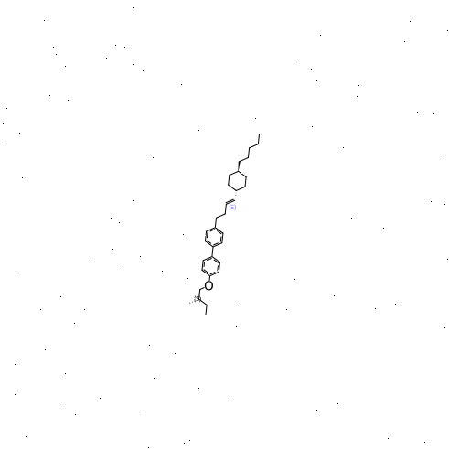 CCCCC[C@H]1CC[C@H](/C=C/CCc2ccc(-c3ccc(OC[C@@H](C)CC)cc3)cc2)CC1